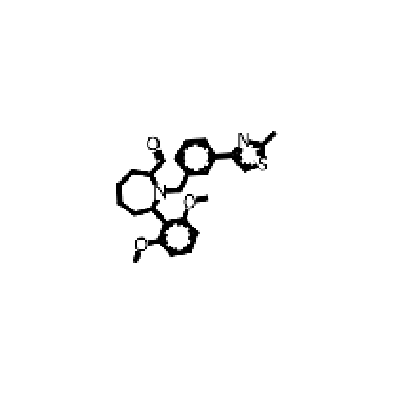 COc1cccc(OC)c1C1CCCCC(C=O)N1Cc1cccc(-c2csc(C)n2)c1